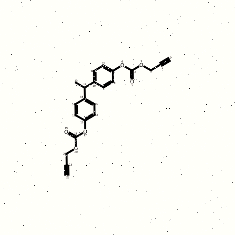 C#CCOC(=O)Oc1ccc(C(C)c2ccc(OC(=O)OCC#C)cc2)cc1